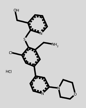 Cl.NCc1cc(-c2ccnc(N3CCOCC3)c2)cc(Cl)c1Sc1ncccc1CO